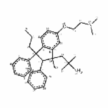 CCCC(c1ccccc1)(c1ccc(OCCN(C)C)cc1)C(c1ccccc1)C(C)(C)CC(C)(C)N